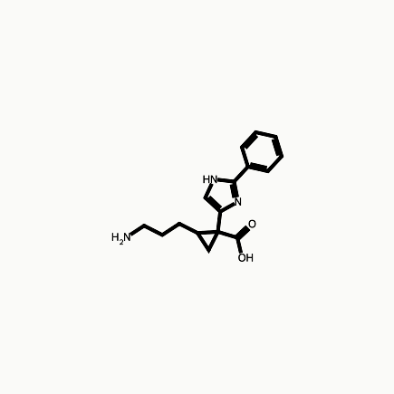 NCCCC1CC1(C(=O)O)c1c[nH]c(-c2ccccc2)n1